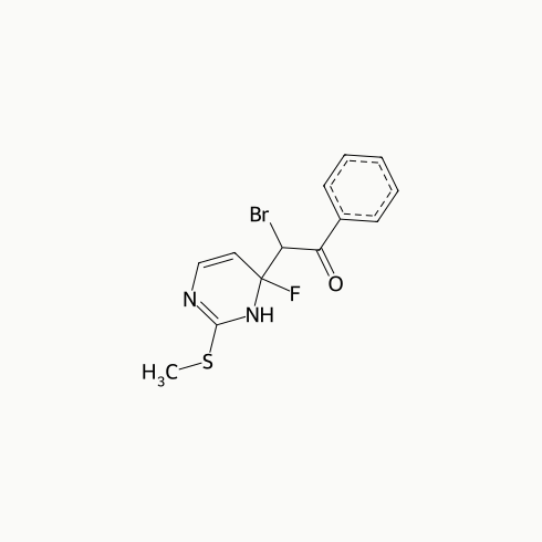 CSC1=NC=CC(F)(C(Br)C(=O)c2ccccc2)N1